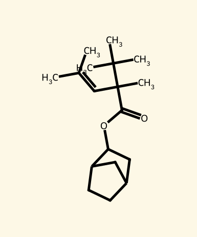 CC(C)=CC(C)(C(=O)OC1CC2CCC1C2)C(C)(C)C